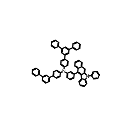 c1ccc(-c2cccc(-c3ccc(N(c4ccc(-c5cc(-c6ccccc6)cc(-c6ccccc6)c5)cc4)c4cccc(-c5c6ccccc6cc6c5c5ccccc5n6-c5ccccc5)c4)cc3)c2)cc1